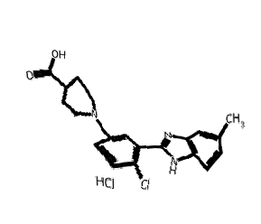 Cc1ccc2[nH]c(-c3cc(N4CCC(C(=O)O)CC4)ccc3Cl)nc2c1.Cl